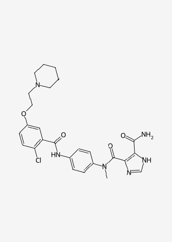 CN(C(=O)c1nc[nH]c1C(N)=O)c1ccc(NC(=O)c2cc(OCCN3CCCCC3)ccc2Cl)cc1